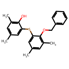 Cc1cc(C)c(O)c(Sc2cc(C)cc(C)c2OCc2ccccc2)c1